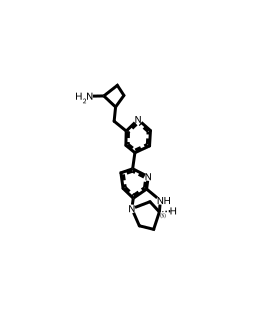 NC1CCC1Cc1cc(-c2ccc3c(n2)N[C@H]2CCN3C2)ccn1